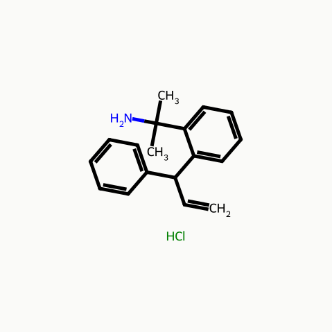 C=CC(c1ccccc1)c1ccccc1C(C)(C)N.Cl